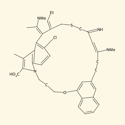 CC/C=C1\CSCC(=N)/C=C(\NC)CCc2cc(c3ccccc3c2)OCCCn2c(C(=O)O)c(C)c3c(c(Cl)ccc32)\C1=C(/C)NC